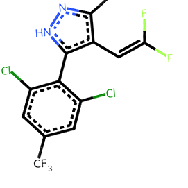 N#Cc1n[nH]c(-c2c(Cl)cc(C(F)(F)F)cc2Cl)c1C=C(F)F